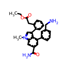 CCOC(=O)Cc1ccccc1-c1cn(C)c2cc(C(N)=O)cc(-c3cccc(CN)c3)c12